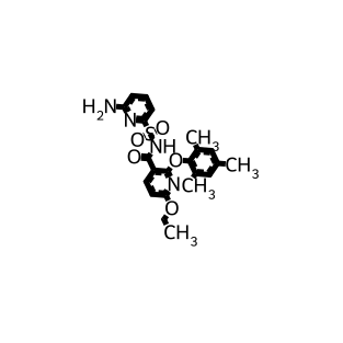 CCOc1ccc(C(=O)NS(=O)(=O)c2cccc(N)n2)c(Oc2c(C)cc(C)cc2C)n1